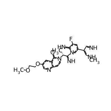 CN/C=C(\C=N)c1cc(F)c(=N)n(C(=N)[C@@H](C)n2ccc3ncc(OCCOC)cc3c2=O)c1